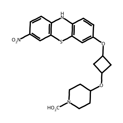 O=C(O)N1CCC(OC2CC(Oc3ccc4c(c3)Sc3cc([N+](=O)[O-])ccc3N4)C2)CC1